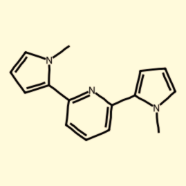 Cn1cccc1-c1cccc(-c2cccn2C)n1